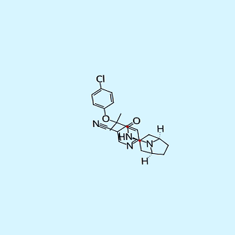 CC(C)(Oc1ccc(Cl)cc1)C(=O)N[C@H]1C[C@H]2CC[C@@H](C1)N2c1ccc(C#N)cn1